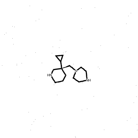 C1CNC[C@](CN2CCNCC2)(C2CC2)C1